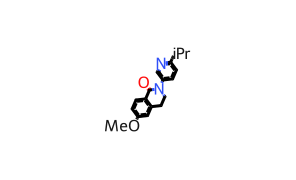 COc1ccc2c(c1)CCN(c1ccc(C(C)C)nc1)C2=O